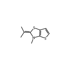 CC(C)=C1Sc2ccsc2N1C